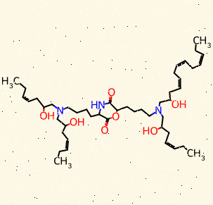 CC/C=C\C/C=C\C/C=C\CC(O)CN(CCCCC1OC(=O)C(CCCCN(CC(O)C/C=C\CC)CC(O)C/C=C\CC)NC1=O)CC(O)C/C=C\CC